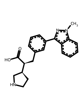 Cn1nc(-c2cccc(C[C@H](C(=O)O)[C@H]3CCNC3)c2)c2ccccc21